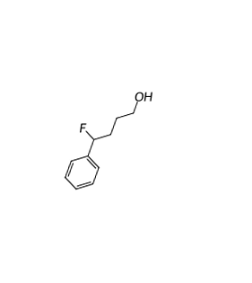 OCCCC(F)c1ccccc1